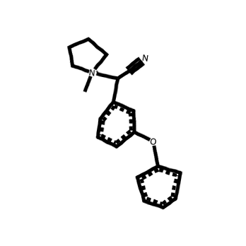 C[N+]1(C(C#N)c2cccc(Oc3ccccc3)c2)CCCC1